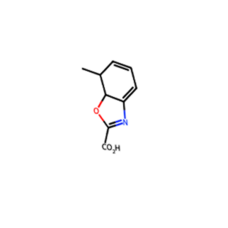 CC1C=CC=C2N=C(C(=O)O)OC21